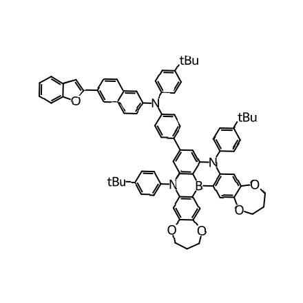 CC(C)(C)c1ccc(N(c2ccc(-c3cc4c5c(c3)N(c3ccc(C(C)(C)C)cc3)c3cc6c(cc3B5c3cc5c(cc3N4c3ccc(C(C)(C)C)cc3)OCCCO5)OCCCO6)cc2)c2ccc3cc(-c4cc5ccccc5o4)ccc3c2)cc1